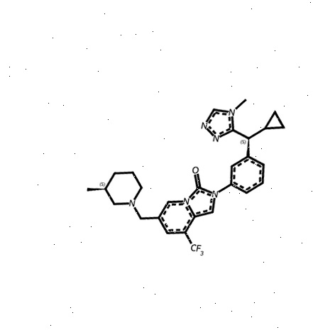 C[C@H]1CCCN(Cc2cc(C(F)(F)F)c3cn(-c4cccc([C@@H](c5nncn5C)C5CC5)c4)c(=O)n3c2)C1